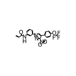 C=CC(=O)Nc1cccc(-n2cc(-c3ccc(OC(F)(F)F)cc3)c([N+](=O)[O-])n2)c1